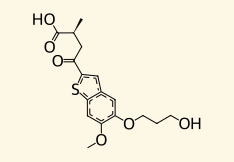 COc1cc2sc(C(=O)C[C@H](C)C(=O)O)cc2cc1OCCCO